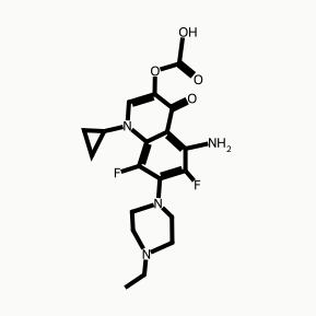 CCN1CCN(c2c(F)c(N)c3c(=O)c(OC(=O)O)cn(C4CC4)c3c2F)CC1